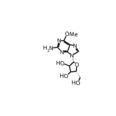 COc1nc(N)nc2c1ncn2[C@@H]1O[C@H](CO)C(O)C1O